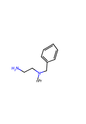 [CH2]CCN(CCN)Cc1ccccc1